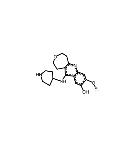 CCOc1cc2nc3c(c(NC4CCNCC4)c2cc1O)CCOCC3